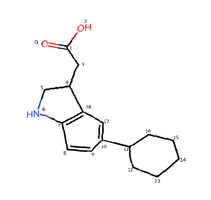 O=C(O)CC1CNc2ccc(C3CCCCC3)cc21